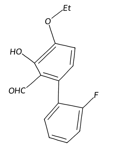 CCOc1ccc(-c2ccccc2F)c(C=O)c1O